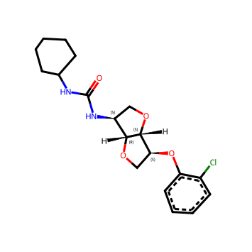 O=C(NC1CCCCC1)N[C@H]1CO[C@H]2[C@@H]1OC[C@@H]2Oc1ccccc1Cl